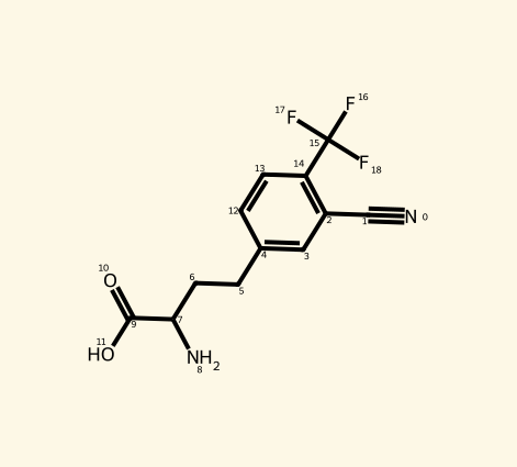 N#Cc1cc(CCC(N)C(=O)O)ccc1C(F)(F)F